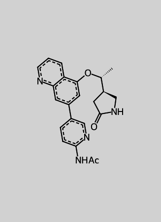 CC(=O)Nc1ccc(-c2cc(O[C@H](C)[C@H]3CNC(=O)C3)c3cccnc3c2)cn1